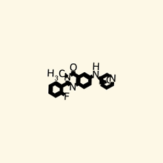 Cn1c(-c2ccccc2F)nc2ccc(NC3CN4CCC3CC4)cc2c1=O